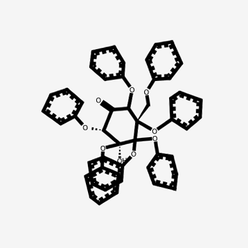 O=C1C(Oc2ccccc2)[C@](COc2ccccc2)(Oc2ccccc2)C(Oc2ccccc2)(Oc2ccccc2)[C@@](O)(Oc2ccccc2)[C@@H]1Oc1ccccc1